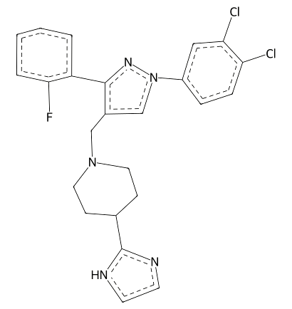 Fc1ccccc1-c1nn(-c2ccc(Cl)c(Cl)c2)cc1CN1CCC(c2ncc[nH]2)CC1